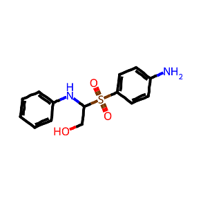 Nc1ccc(S(=O)(=O)C(CO)Nc2ccccc2)cc1